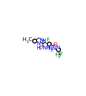 Cc1ccc2c(c1)CCn1nc(-c3ccc(C(=O)Nc4cc(C(F)(F)F)ccn4)cc3F)c(C(N)=O)c1N2